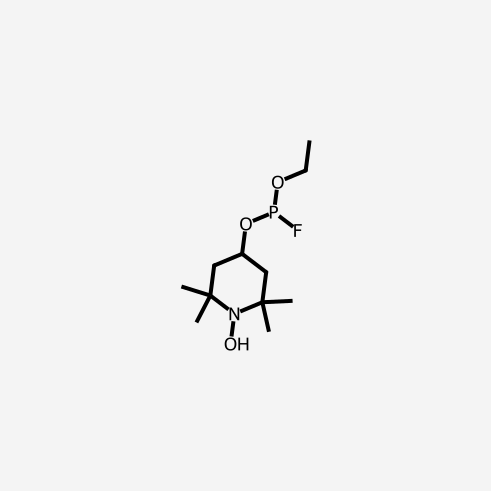 CCOP(F)OC1CC(C)(C)N(O)C(C)(C)C1